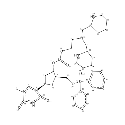 Cc1cn([C@H]2C[C@H](OC(=O)OCCN(CC3CCCCN3)CC3CCCCN3)[C@@H](CO[Si](c3ccccc3)(c3ccccc3)C(C)(C)C)O2)c(=O)[nH]c1=O